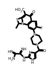 CC1Sc2c(C(=O)O)c(=O)c3cc(F)c(N4CCN(C(=O)c5c[nH]c(NC(=N)C(=N)N)n5)CC4)cc3n21